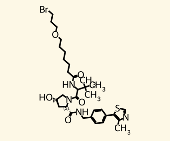 Cc1ncsc1-c1ccc(CNC(=O)[C@@H]2C[C@@H](O)CN2C(=O)C(NC(=O)CCCCCCOCCCBr)C(C)(C)C)cc1